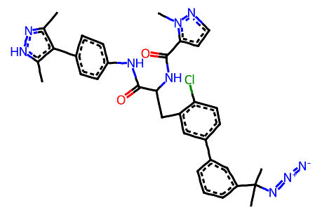 Cc1n[nH]c(C)c1-c1ccc(NC(=O)C(Cc2cc(-c3cccc(C(C)(C)N=[N+]=[N-])c3)ccc2Cl)NC(=O)c2ccnn2C)cc1